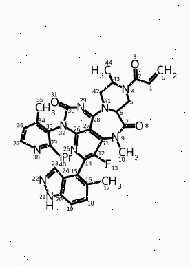 C=CC(=O)N1CC2C(=O)N(C)c3c(F)c(-c4c(C)ccc5[nH]ncc45)nc4c3c(nc(=O)n4-c3c(C)ccnc3C(C)C)N2CC1C